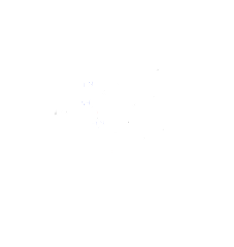 CCCCCCN.NC(=O)c1ccccc1.NC(=O)c1ccccc1